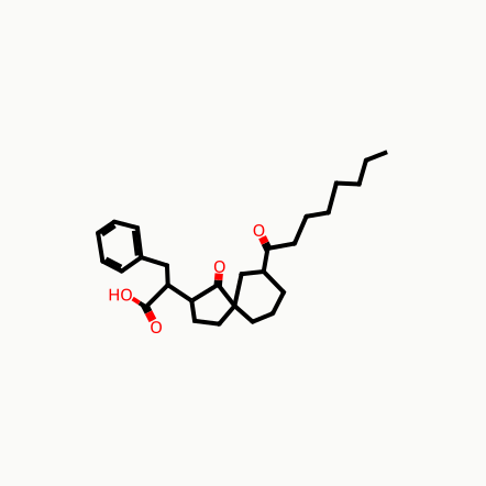 CCCCCCCC(=O)C1CCCC2(CCC(C(Cc3ccccc3)C(=O)O)C2=O)C1